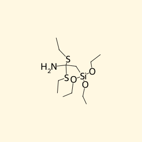 CCO[Si](CC(N)(SCC)SCC)(OCC)OCC